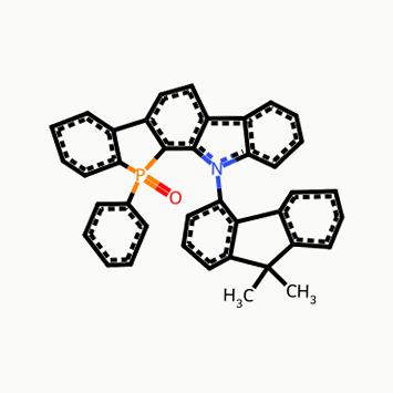 CC1(C)c2ccccc2-c2c(-n3c4ccccc4c4ccc5c(c43)P(=O)(c3ccccc3)c3ccccc3-5)cccc21